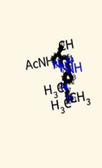 C#Cc1cc(NC(C)=O)nc2nc(Nc3ccc(N(C)CCN(C)C)cc3)ncc12